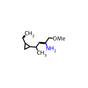 C=CC1CC1C(C)/C=C(\N)COC